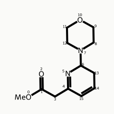 COC(=O)CC1=NC(N2CCOCC2)CC=C1